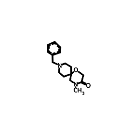 CN1CC2(CCN(Cc3ccccc3)CC2)OCC1=O